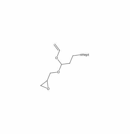 C=COC(CCCCCCCCC)OCC1CO1